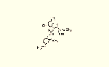 CCC[C@@H](CO)Nc1nc(NCc2ccc(OC)cc2OC)nc2c(Cl)cc(C)nc12